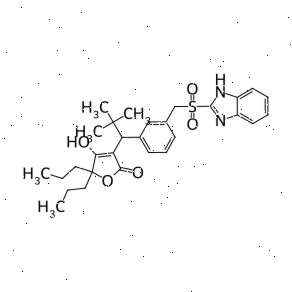 CCCC1(CCC)OC(=O)C(C(c2cccc(CS(=O)(=O)c3nc4ccccc4[nH]3)c2)C(C)(C)C)=C1O